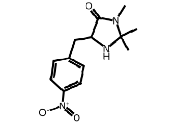 CN1C(=O)C(Cc2ccc([N+](=O)[O-])cc2)NC1(C)C